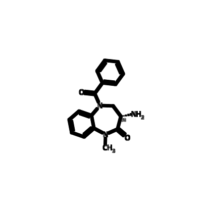 CN1C(=O)[C@@H](N)CN(C(=O)c2ccccc2)c2ccccc21